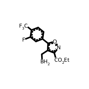 BCc1c(C(=O)OCC)noc1-c1ccc(C(F)(F)F)c(F)c1